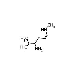 CN/C=C\CC(N)C(C)C